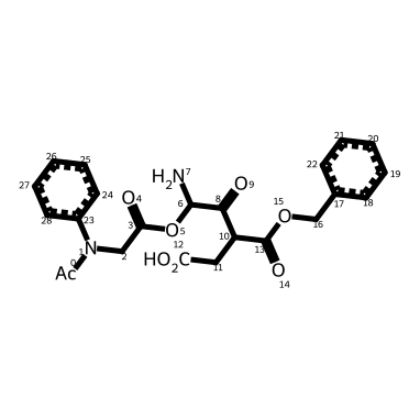 CC(=O)N(CC(=O)OC(N)C(=O)C(CC(=O)O)C(=O)OCc1ccccc1)c1ccccc1